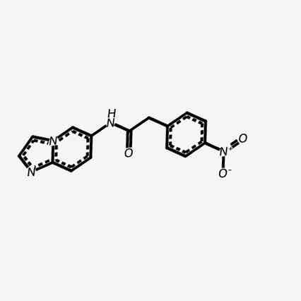 O=C(Cc1ccc([N+](=O)[O-])cc1)Nc1ccc2nccn2c1